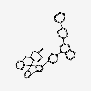 C=C1C=CC2=C(C1)Oc1ccccc1C21c2ccccc2-c2ccc(-c3ccc(-c4nc(-c5ccc(-c6ccccc6)cc5)nc5ccccc45)cc3)cc21